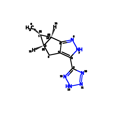 C[C@H]1[C@@H]2Cc3c(n[nH]c3-c3nn[nH]n3)[C@H]12